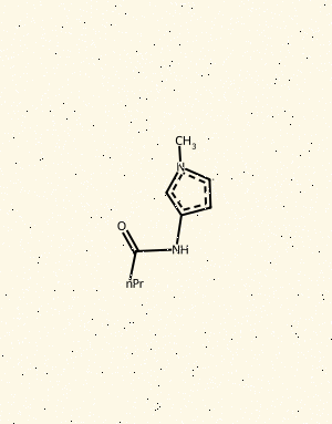 CCCC(=O)Nc1c[c]n(C)c1